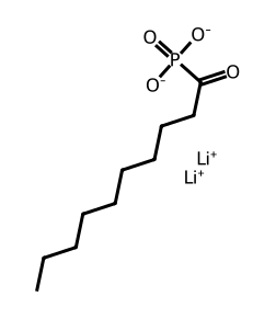 CCCCCCCCCC(=O)P(=O)([O-])[O-].[Li+].[Li+]